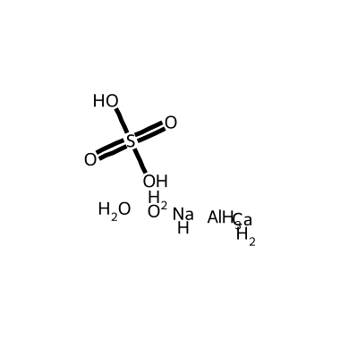 O.O.O=S(=O)(O)O.[AlH3].[CaH2].[NaH]